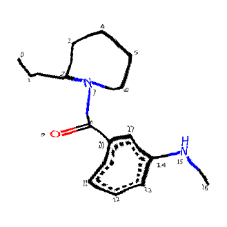 CCC1CCCCN1C(=O)c1cccc(NC)c1